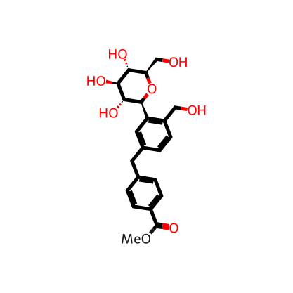 COC(=O)c1ccc(Cc2ccc(CO)c([C@@H]3O[C@H](CO)[C@@H](O)[C@H](O)[C@H]3O)c2)cc1